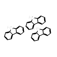 c1ccc2c(c1)[nH]c1ccccc12.c1ccc2c(c1)[nH]c1ccccc12.c1ccc2c(c1)[nH]c1ccccc12